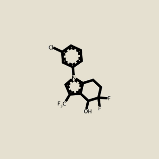 OC1c2c(C(F)(F)F)cn(-c3cccc(Cl)c3)c2CCC1(F)F